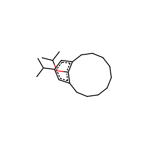 CC(C)Oc1c2cc(C(C)C)cc1CCCCCCCCC2